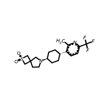 Cc1nc(C(F)(F)F)ccc1[C@H]1CC[C@H](N2CCC3(C2)CS(=O)(=O)C3)CC1